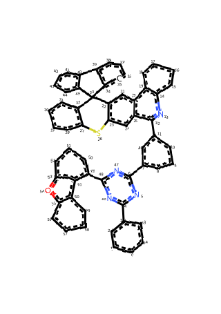 c1ccc(-c2nc(-c3cccc(-c4nc5ccccc5c5cc6c(cc45)Sc4ccccc4C64c5ccccc5-c5ccccc54)c3)nc(-c3cccc4oc5ccccc5c34)n2)cc1